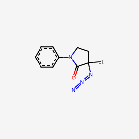 [CH2]CC1(N=[N+]=[N-])CCN(c2ccccc2)C1=O